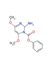 COC1=CC(OC)=NC(N)N1C(=O)Oc1ccccc1